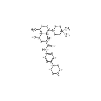 Cc1ccc(N2CC[N+](C)(C)CC2)c2[nH]c(C(=O)Nc3ccc(N4CCOCC4)cc3)cc(=O)c12